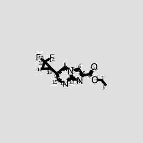 CCOC(=O)c1cn2cc(C3CC3(F)F)cnc2n1